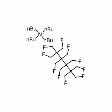 CCCC[N+](CCCC)(CCCC)CCCC.FCC(CF)(CF)C(CF)(CF)C(CF)(CF)C(CF)(CF)CF